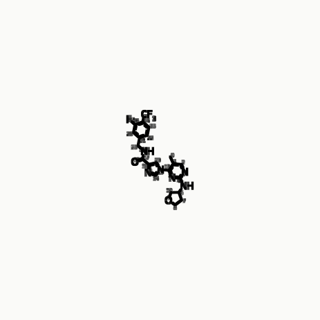 Cc1cnc(NC2CCOC2)nc1-n1cnc(C(=O)NCc2ccc(C(F)(F)F)c(F)c2)c1